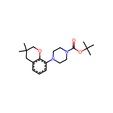 CC1(C)COc2c(cccc2N2CCN(C(=O)OC(C)(C)C)CC2)C1